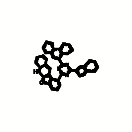 C1=CC2=Cc3c(oc4cccc(-c5nc(-c6ccc7ccccc7c6)nc(-c6cc7ccccc7c7ccccc67)n5)c34)NC2C=C1